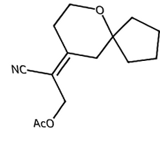 CC(=O)OC/C(C#N)=C1/CCOC2(CCCC2)C1